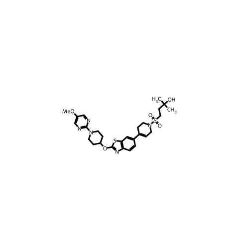 COc1cnc(N2CCC(Oc3nc4ccc(C5=CCN(S(=O)(=O)CCC(C)(C)O)CC5)cc4s3)CC2)nc1